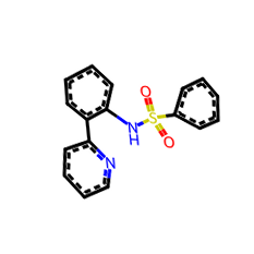 O=S(=O)(Nc1ccccc1-c1ccccn1)c1ccccc1